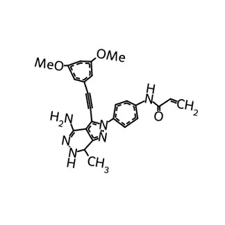 C=CC(=O)Nc1ccc(-n2nc3c(c2C#Cc2cc(OC)cc(OC)c2)C(N)=NNC3C)cc1